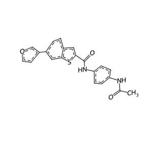 CC(=O)Nc1ccc(NC(=O)c2cc3ccc(-c4ccoc4)cc3s2)cc1